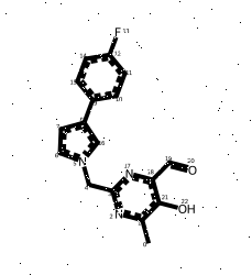 Cc1nc(Cn2ccc(-c3ccc(F)cc3)c2)nc([C]=O)c1O